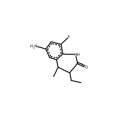 CCC1C(=O)Nc2c(F)cc(N)cc2C1C